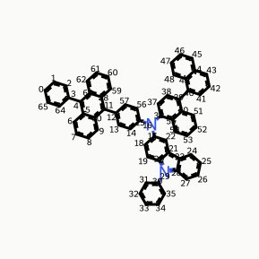 c1ccc(-c2c3ccccc3c(-c3ccc(N(c4ccc5c(c4)c4ccccc4n5-c4ccccc4)c4ccc(-c5cccc6ccccc56)c5ccccc45)cc3)c3ccccc23)cc1